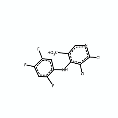 O=C(O)c1cnc(Cl)c(Cl)c1Nc1cc(F)c(F)cc1F